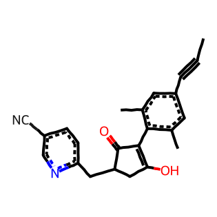 CC#Cc1cc(C)c(C2=C(O)CC(Cc3ccc(C#N)cn3)C2=O)c(C)c1